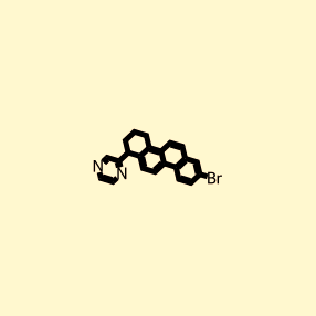 Brc1ccc2c(ccc3c4c(ccc32)C(c2cnccn2)CCC4)c1